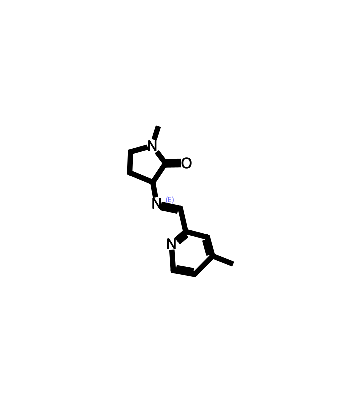 Cc1ccnc(/C=N/C2CCN(C)C2=O)c1